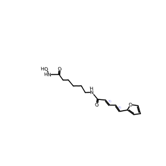 O=C(/C=C/C=C/c1ccco1)NCCCCCC(=O)NO